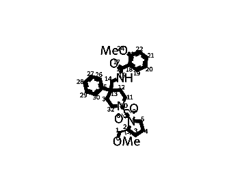 COC[C@@H]1CCCN1S(=O)(=O)N1CCC(CNC(=O)c2ccccc2OC)(c2ccccc2)CC1